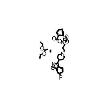 C=C.CCOC(C)OCC.O=C1CN(CCCN2CCC(c3noc4cc(F)ccc34)CC2)S(=O)(=O)c2ccccc21